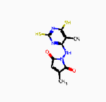 CC1=CC(=O)N(Nc2nc(S)nc(S)c2C#N)C1=O